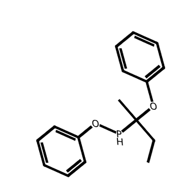 CCC(C)(Oc1ccccc1)POc1ccccc1